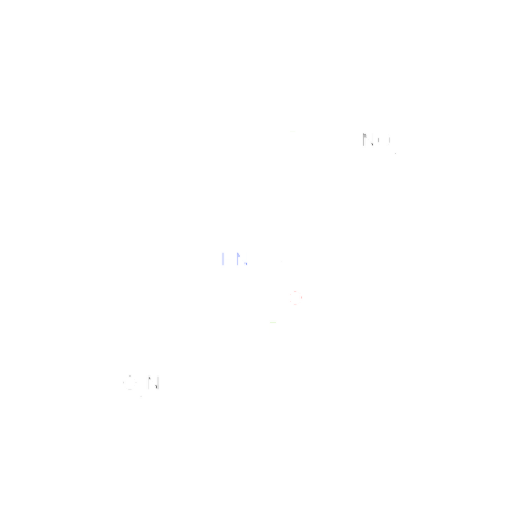 O=C(Nc1ccc([N+](=O)[O-])cc1F)c1ccc([N+](=O)[O-])c(F)c1